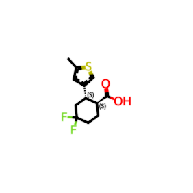 Cc1cc([C@H]2CC(F)(F)CC[C@@H]2C(=O)O)cs1